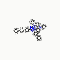 c1ccc(-c2ccc(-c3ccc(-c4nc(-c5ccc(-c6ccccc6)cc5)nc(-n5c6ccccc6c6ccc7c(c8ccccc8n7-c7ccccc7)c65)n4)cc3)cc2)cc1